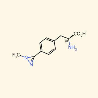 N[C@@H](Cc1ccc(C2=NN2C(F)(F)F)cc1)C(=O)O